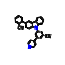 N#Cc1cc(-c2ccncc2)cc(-n2c3ccccc3c3cc(-c4ccccc4C#N)ccc32)c1